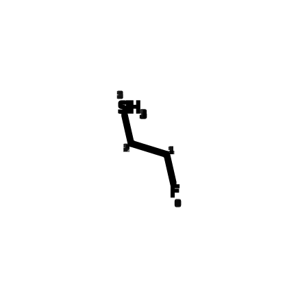 FCC[SiH3]